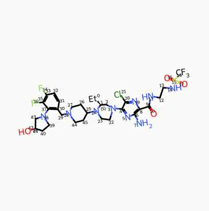 CC[C@H]1CN(c2nc(N)c(C(=O)NCCNS(=O)(=O)C(F)(F)F)nc2Cl)CCN1C1CCN(Cc2ccc(F)c(F)c2N2CC[C@@H](O)C2)CC1